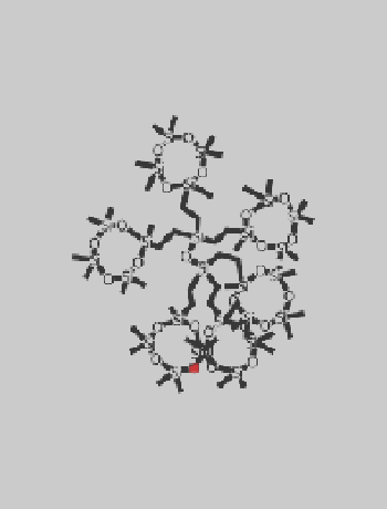 C[Si]1(C)O[Si](C)(C)O[Si](C)(CC[Si](CC[Si]2(C)O[Si](C)(C)O[Si](C)(C)O[Si](C)(C)O2)(CC[Si]2(C)O[Si](C)(C)O[Si](C)(C)O[Si](C)(C)O2)O[Si](CC[Si]2(C)O[Si](C)(C)O[Si](C)(C)O[Si](C)(C)O2)(CC[Si]2(C)O[Si](C)(C)O[Si](C)(C)O[Si](C)(C)O2)CC[Si]2(C)O[Si](C)(C)O[Si](C)(C)O[Si](C)(C)O2)O[Si](C)(C)O1